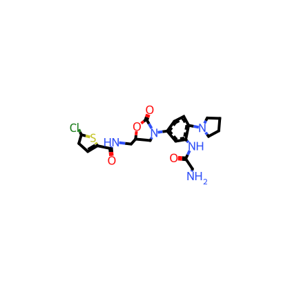 NCC(=O)Nc1cc(N2CC(CNC(=O)C3=CCC(Cl)S3)OC2=O)ccc1N1CCCC1